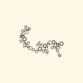 COc1c(NC(=O)CN2CCC3(CC2)CC(Oc2ccc(-c4ccc(N5CCc6ccnc(C(=O)N(COCC[Si](C)(C)C)c7nc8ccccc8s7)c6C5)nc4C(=O)OC(C)(C)C)c(C(F)(F)F)c2)C3)ccc2c(C3CCC(=O)NC3=O)nn(C)c12